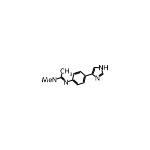 CNC(C)=Nc1ccc(-c2c[nH]cn2)cc1